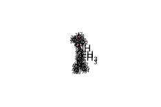 CC1(C)c2cc(Nc3ccc4c(c3)C3(c5ccccc5-c5ccccc53)c3ccccc3-4)ccc2-c2ccc(-n3c4ccc5ccccc5c4c4c5ccccc5ccc43)cc21